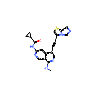 CNc1ncc(C#Cc2csc3cncn23)c2cc(NC(=O)C3CC3)ncc12